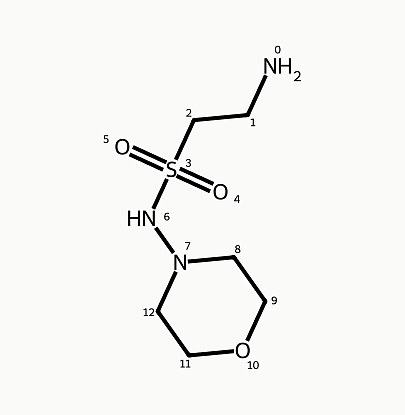 NCCS(=O)(=O)NN1CCOCC1